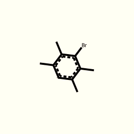 Cc1[c]c(C)c(C)c(Br)c1C